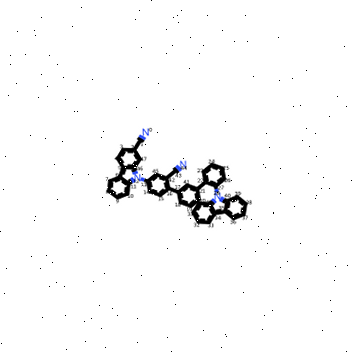 N#Cc1ccc2c3ccccc3n(-c3ccc(-c4cccc(-c5ccccc5-n5c6ccccc6c6ccccc65)c4)c(C#N)c3)c2c1